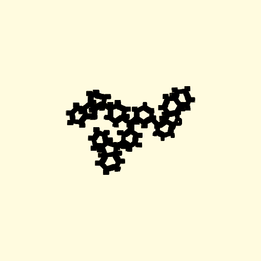 c1cc(-c2cccc3oc4c5ccccc5ccc4c23)cc(N(c2ccc(-c3cccc4c3sc3ccccc34)cc2)c2cccc(-n3c4ccccc4c4ccccc43)c2)c1